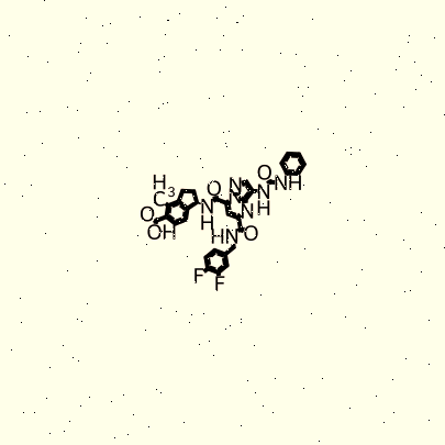 Cc1c(C(=O)O)ccc2c1CC[C@@H]2NC(=O)c1cc(C(=O)NCc2ccc(F)c(F)c2)nc2c(NC(=O)Nc3ccccc3)cnn12